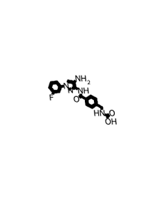 Nc1cn(-c2cccc(F)c2)nc1NC(=O)c1ccc(CNC(=O)O)cc1